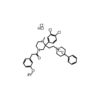 CC(C)Oc1cccc(CC(=O)N2CCN(C)C(CC[N+]34CCC(c5ccccc5)(CC3)CC4)(c3ccc(Cl)c(Cl)c3)C2)c1.Cl.[Cl-]